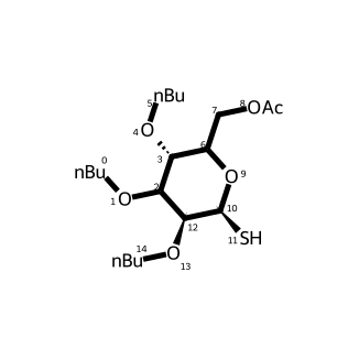 CCCCOC1[C@H](OCCCC)C(COC(C)=O)O[C@@H](S)[C@H]1OCCCC